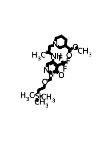 COC(=O)C1CCCN(C[C@H](C)Nc2cnn(COCC[Si](C)(C)C)c(=O)c2C(F)(F)F)C1